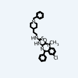 CN1C(=O)C(NC(=S)NCCC2CCN(Cc3ccccc3)CC2)N=C(c2ccccc2)c2cc(Cl)ccc21